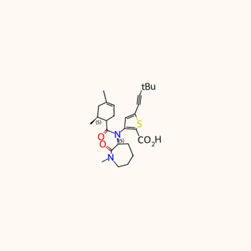 CC1=CCC(C(=O)N(c2cc(C#CC(C)(C)C)sc2C(=O)O)[C@H]2CCCCN(C)C2=O)[C@@H](C)C1